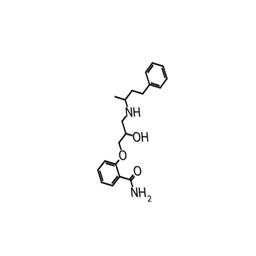 CC(CCc1ccccc1)NCC(O)COc1ccccc1C(N)=O